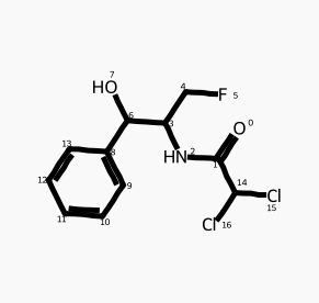 O=C(NC(CF)C(O)c1ccccc1)C(Cl)Cl